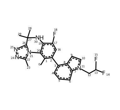 Cc1c(-c2cccc3c2ccn3CC(F)F)cc(F)c2c1-n1c(C)nnc1C(C)(C)N2